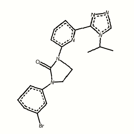 CC(C)n1cnnc1-c1cccc(N2CCN(c3cccc(Br)c3)C2=O)n1